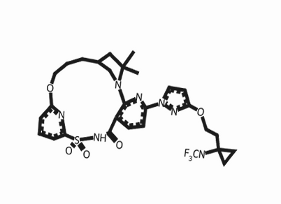 CC1(C)CC2CCCOc3cccc(n3)S(=O)(=O)NC(=O)c3ccc(-n4ccc(OCCC5(NC(F)(F)F)CC5)n4)nc3N1C2